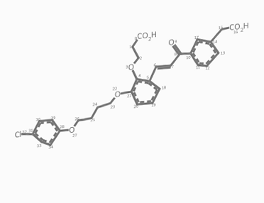 O=C(O)CCOc1c(C=CC(=O)c2cccc(CC(=O)O)c2)cccc1OCCCCOc1ccc(Cl)cc1